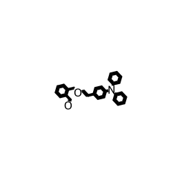 O=Cc1ccccc1COC=Cc1ccc(N(c2ccccc2)c2ccccc2)cc1